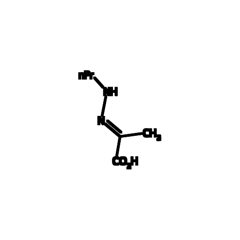 CCCNN=C(C)C(=O)O